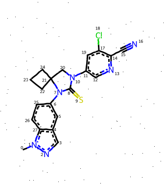 Cn1ncc2cc(N3C(=S)N(c4cnc(C#N)c(Cl)c4)CC34CCC4)ccc21